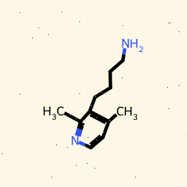 Cc1ccnc(C)c1CCCCN